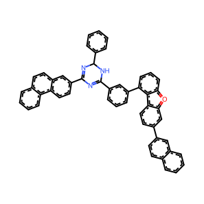 c1ccc(C2N=C(c3ccc4c(ccc5ccccc54)c3)N=C(c3cccc(-c4cccc5oc6cc(-c7ccc8ccccc8c7)ccc6c45)c3)N2)cc1